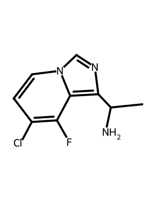 CC(N)c1ncn2ccc(Cl)c(F)c12